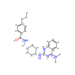 CCCc1ccc(C(=O)NC[C@H]2CC[C@@H](Nc3nc(N(C)C)c4ccccc4n3)CC2)cc1